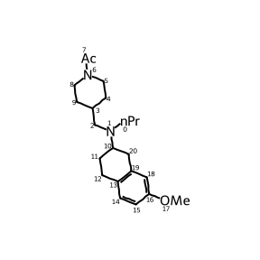 CCCN(CC1CCN(C(C)=O)CC1)C1CCc2ccc(OC)cc2C1